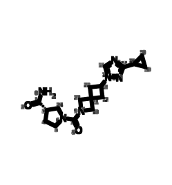 NC(=O)[C@H]1CCN(C(=O)N2CC3(CC(n4cnc(C5CC5)n4)C3)C2)C1